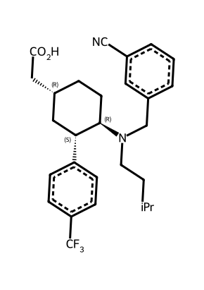 CC(C)CCN(Cc1cccc(C#N)c1)[C@@H]1CC[C@@H](CC(=O)O)C[C@H]1c1ccc(C(F)(F)F)cc1